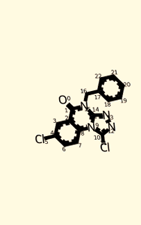 O=c1c2cc(Cl)ccc2n2c(Cl)nnc2n1Cc1ccccc1